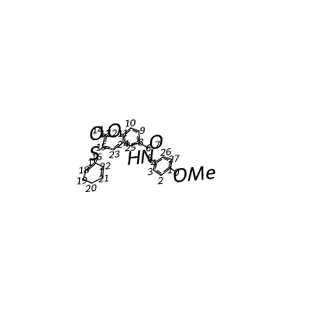 COc1ccc(NC(=O)c2ccc3oc(=O)c(SC4=CCCC=C4)cc3c2)cc1